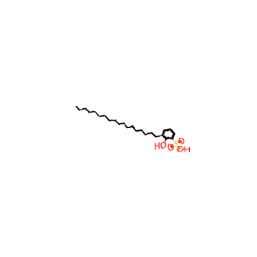 CCCCCCCCCCCCCCCCCCc1cccc(S(=O)(=O)O)c1O